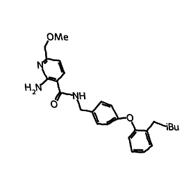 CCC(C)Cc1ccccc1Oc1ccc(CNC(=O)c2ccc(COC)nc2N)cc1